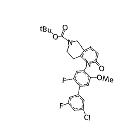 COc1cc(-c2cc(F)cc(Cl)c2)c(F)cc1-n1c2c(ccc1=O)CN(C(=O)OC(C)(C)C)CC2